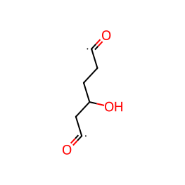 O=[C]CCC(O)C[C]=O